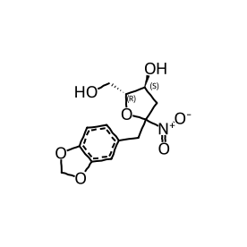 O=[N+]([O-])C1(Cc2ccc3c(c2)OCO3)C[C@H](O)[C@@H](CO)O1